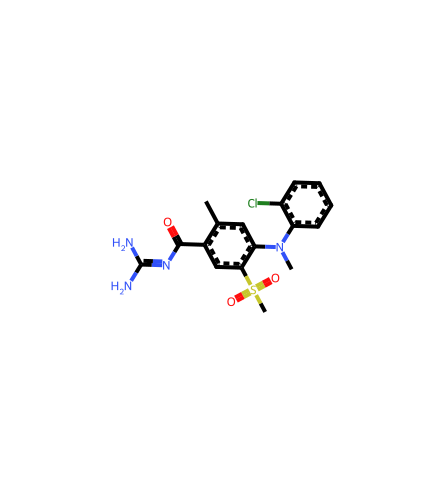 Cc1cc(N(C)c2ccccc2Cl)c(S(C)(=O)=O)cc1C(=O)N=C(N)N